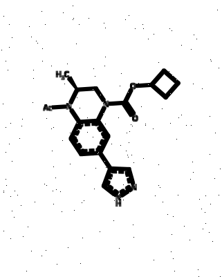 CC(=O)N1c2ccc(-c3cn[nH]c3)cc2N(C(=O)OC2CCC2)C[C@@H]1C